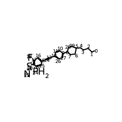 CCCCCC1CCC(c2ccc(C#Cc3cc(F)c(SC#N)c(P)c3)cc2)CC1